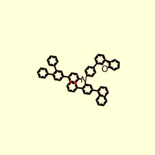 c1ccc(-c2ccc(-c3ccc(N(c4ccc(-c5cccc6c5oc5ccccc56)cc4)c4cc(-c5cccc6ccccc56)ccc4-c4ccccc4)cc3)cc2-c2ccccc2)cc1